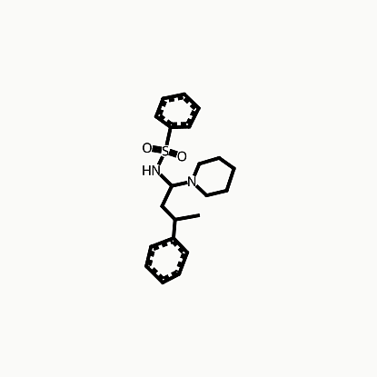 CC(CC(NS(=O)(=O)c1ccccc1)N1CCCCC1)c1ccccc1